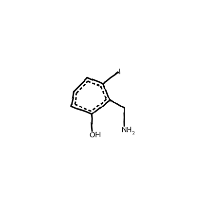 NCc1c(O)cccc1I